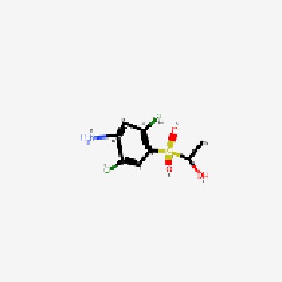 CC(O)S(=O)(=O)c1cc(Cl)c(N)cc1Cl